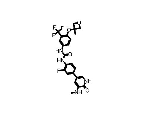 CNc1cc(-c2ccc(NC(=O)Nc3ccc(OC4(C)COC4)c(C(F)(F)F)c3)c(F)c2)c[nH]c1=O